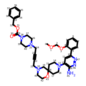 COCOc1ccccc1-c1cc(N2CCC3(CC2)CN(CC#CCN2CCN(C(=O)OCc4ccccc4)CC2)CCO3)c(N)nn1